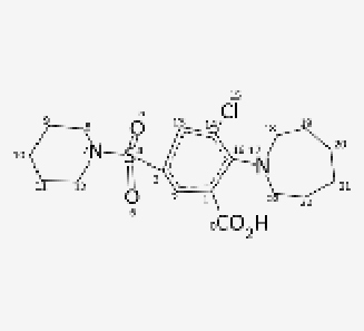 O=C(O)c1cc(S(=O)(=O)N2CCCCC2)cc(Cl)c1N1CCCCCC1